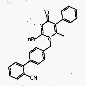 CCCc1nc(=O)c(-c2ccccc2)c(C)n1Cc1ccc(-c2ccccc2C#N)cc1